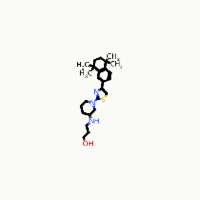 CC1(C)CCC(C)(C)c2cc(C3CSC(N4CCCC(NCCCO)C4)=N3)ccc21